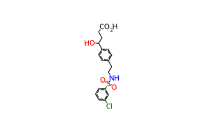 O=C(O)CCC(O)c1ccc(CCNS(=O)(=O)c2cccc(Cl)c2)cc1